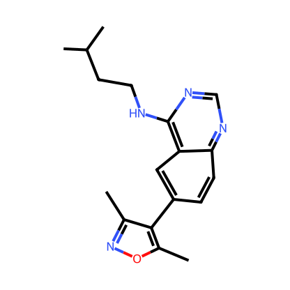 Cc1noc(C)c1-c1ccc2ncnc(NCCC(C)C)c2c1